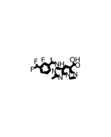 Cc1nc(N[C@H](C)c2cccc(C(F)F)c2F)c2cc(C(=O)O)c3nccn3c2n1